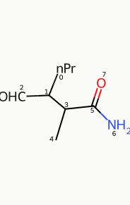 CCCC(C=O)C(C)C(N)=O